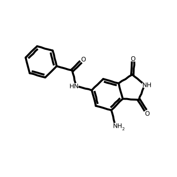 Nc1cc(NC(=O)c2ccccc2)cc2c1C(=O)NC2=O